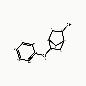 [O]C1CC2CC1CC2Oc1[c]cccc1